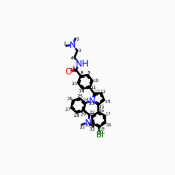 CN(C)CCNC(=O)c1ccc(-c2ccc(-c3ccc(Br)cc3)n2-c2ccccc2CN(C)C)cc1